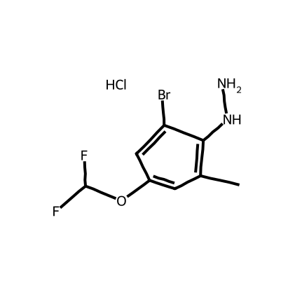 Cc1cc(OC(F)F)cc(Br)c1NN.Cl